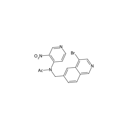 CC(=O)N(Cc1ccc2cncc(Br)c2c1)c1ccncc1[N+](=O)[O-]